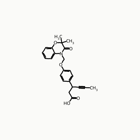 CC#CC(CC(=O)O)c1ccc(OCN2C(=O)C(C)(C)Oc3ccccc32)cc1